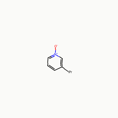 CC(C)c1ccc[n+]([O-])c1